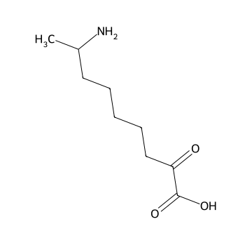 CC(N)CCCCCC(=O)C(=O)O